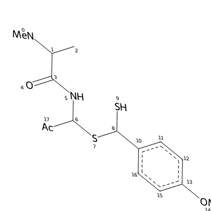 CNC(C)C(=O)NC(SC(S)c1ccc(OC)cc1)C(C)=O